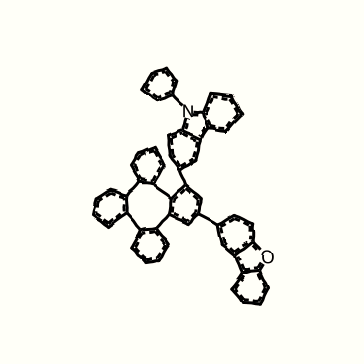 c1ccc(-n2c3ccccc3c3cc(-c4cc(-c5ccc6oc7ccccc7c6c5)cc5c4-c4ccccc4-c4ccccc4-c4ccccc4-5)ccc32)cc1